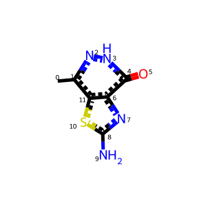 Cc1n[nH]c(=O)c2nc(N)sc12